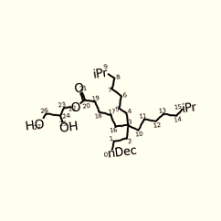 CCCCCCCCCCCCC(CCCCCC(C)C)(CCCCCC(C)C)CCCCC(=O)OCC(O)CO